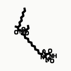 CCCCCCCCC(C)C(=O)NCC(CCCCCCCCCc1nc2c(c(=O)[nH]c(=O)n2C)n1C)OC(=O)CC